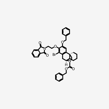 O=C1c2ccccc2C(=O)N1CCOc1c(OCc2ccccc2)cc2c(c1Br)C[C@H]1C3CCCC[C@@]23CCN1C(=O)OCc1ccccc1